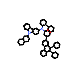 c1ccc(-c2ccccc2N(c2cccc(-c3ccc4c(c3)c(-c3ccccc3)c(-c3ccccc3)c3ccccc34)c2)c2ccc3c(c2)c2ccccc2n3-c2ccc3ccccc3c2)cc1